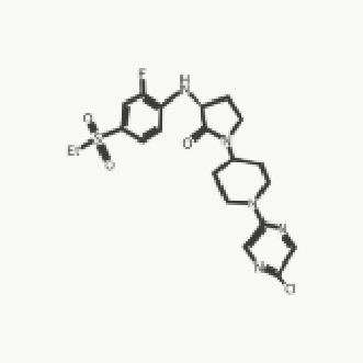 CCS(=O)(=O)c1ccc(N[C@H]2CCN(C3CCN(c4cnc(Cl)cn4)CC3)C2=O)c(F)c1